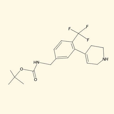 CC(C)(C)OC(=O)NCc1ccc(C(F)(F)F)c(C2=CCNCC2)c1